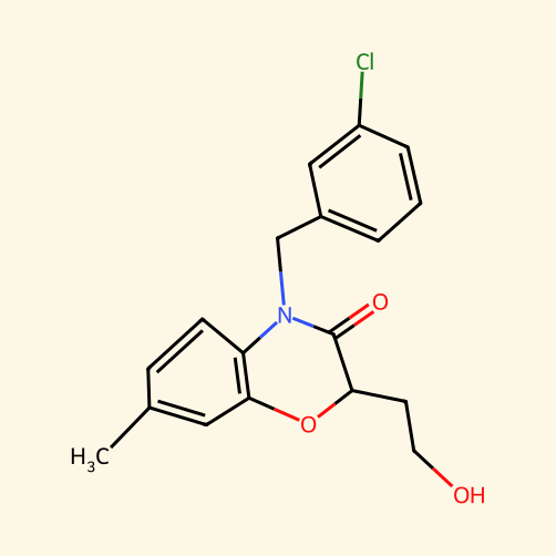 Cc1ccc2c(c1)OC(CCO)C(=O)N2Cc1cccc(Cl)c1